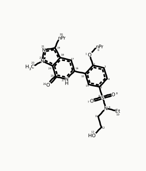 CCCOc1ccc(S(=O)(=O)N(CC)CCO)cc1-c1cc2c(CCC)nn(C)c2c(=O)[nH]1